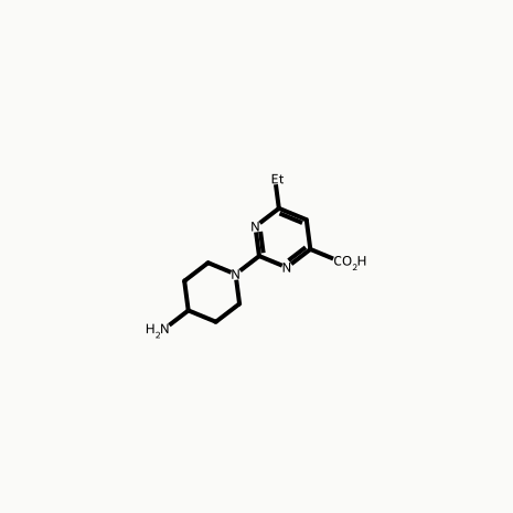 CCc1cc(C(=O)O)nc(N2CCC(N)CC2)n1